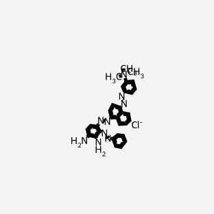 C[N+](C)(C)c1cccc(N=Nc2ccc(N=Nc3ccc(N)c(N)c3N=Nc3ccccc3)c3ccccc23)c1.[Cl-]